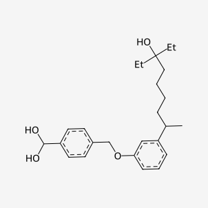 CCC(O)(CC)CCCCC(C)c1cccc(OCc2ccc(C(O)O)cc2)c1